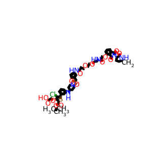 C=C1CCC(N2C(=O)c3cccc(OCC(=O)NCCOCCOCCC(=O)Nc4cccc(CS(=O)(=O)N5CCC(Nc6cccc(-c7sc(C(=O)OC(C)(C)C)c(OCC(=O)O)c7Cl)c6)CC5)c4)c3C2=O)C(=O)N1